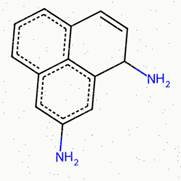 Nc1cc2c3c(cccc3c1)C=CC2N